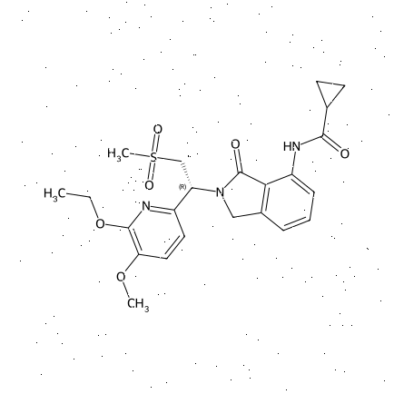 CCOc1nc([C@H](CS(C)(=O)=O)N2Cc3cccc(NC(=O)C4CC4)c3C2=O)ccc1OC